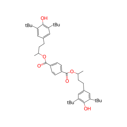 CC(CCc1cc(C(C)(C)C)c(O)c(C(C)(C)C)c1)OC(=O)c1ccc(C(=O)OC(C)CCc2cc(C(C)(C)C)c(O)c(C(C)(C)C)c2)cc1